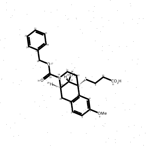 COc1ccc2c(c1)[C@]1(CCCC(=O)O)CCN(C(=O)OCc3ccccc3)[C@H](C2)[C@@H]1C